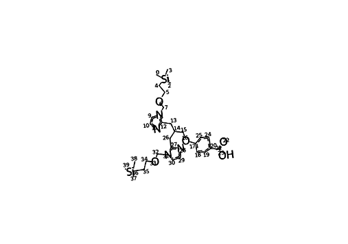 C[Si](C)(C)CCOCn1ccnc1CC(COc1ccc(C(=O)O)cc1)Cc1nccn1COCC[Si](C)(C)C